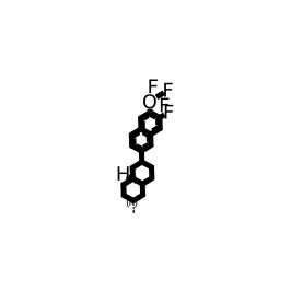 C[C@@H]1CC[C@@H]2CC(c3ccc4cc(OC(F)(F)F)c(F)cc4c3)CCC2C1